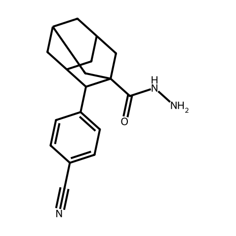 N#Cc1ccc(C2C3CC4CC(C3)CC2(C(=O)NN)C4)cc1